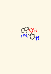 CN(C)c1ccc(C(=N)c2c(O)ccc3ccccc23)cc1